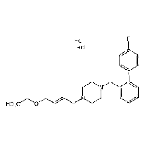 Cl.Cl.O=C(O)COCC=CCN1CCN(Cc2ccccc2-c2ccc(F)cc2)CC1